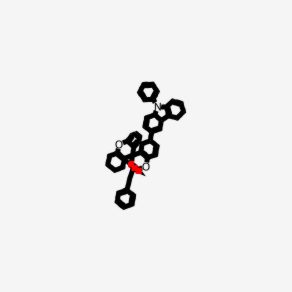 C1=CC2=C(CC1)C1C=C(C3C=CC4=C(C3)C3(C5=C(CCCC5)Oc5ccccc53)c3ccc(-c5ccccc5)cc3O4)C=CC1N2c1ccccc1